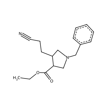 CCOC(=O)C1CN(Cc2ccccc2)CC1CCC#N